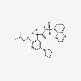 CC(C)COc1ncc(N2CCCC2)cc1C1(C(=O)NS(=O)(=O)c2cccc3ncccc23)CC1